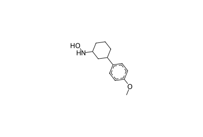 COc1ccc(C2CCCC(NO)C2)cc1